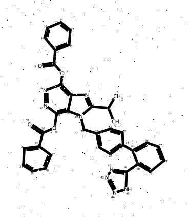 CC(C)c1nc2c(OC(=O)c3ccccc3)nnc(OC(=O)c3ccccc3)c2n1Cc1ccc(-c2ccccc2-c2nnn[nH]2)cc1